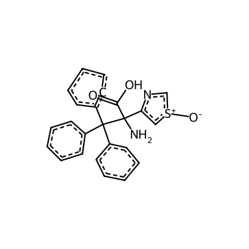 NC(C(=O)O)(c1c[s+]([O-])cn1)C(c1ccccc1)(c1ccccc1)c1ccccc1